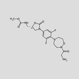 COC(=O)NC[C@H]1CN(c2cc(F)c(N3CCON(C(=O)CN)CC3)c(F)c2)C(=O)O1